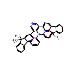 CC1(C)c2ccccc2-c2ccc(-c3cncc(-c4ccc5c(c4)C(C)(C)c4ccccc4-5)c3N(c3ccccn3)c3ccccn3)cc21